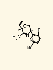 C=C[C@]1(C)OC[C@@](C)(c2nc(Br)ccc2F)N=C1N